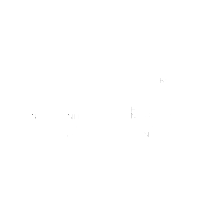 CN(CC(N)c1ccc(C(=O)Nc2ccncc2)cc1)C(=O)Cc1cccc(Br)c1